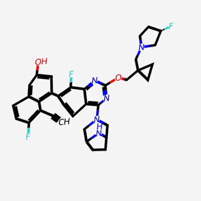 C#Cc1c(F)ccc2cc(O)cc(-c3ccc4c(N5CC6CCC(C5)N6)nc(OCC5(CN6CC[C@@H](F)C6)CC5)nc4c3F)c12